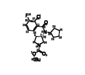 CC(C)(C)OC(=O)N1CC[C@H](N(C(=O)c2cccc(F)c2Cl)C2CCCC2)C1